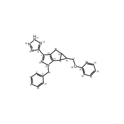 c1ccc(Cn2nc(-c3nn[nH]n3)c3c2C2C(COc4ccccc4)C2C3)cc1